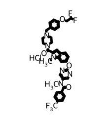 CN(C(=O)c1ccc(C(F)(F)F)cc1)c1cnc(Oc2ccc3cc(C(=O)N4CCN(Cc5ccc(OCC(F)F)cc5)CC4)n(C)c3c2)nc1.Cl